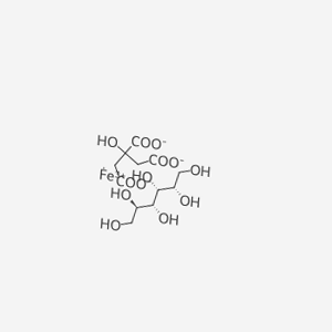 O=C([O-])CC(O)(CC(=O)[O-])C(=O)[O-].OC[C@@H](O)[C@@H](O)[C@H](O)[C@@H](O)CO.[Fe+3]